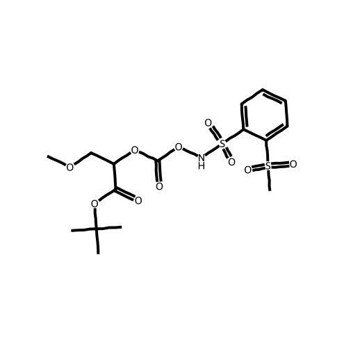 COCC(OC(=O)ONS(=O)(=O)c1ccccc1S(C)(=O)=O)C(=O)OC(C)(C)C